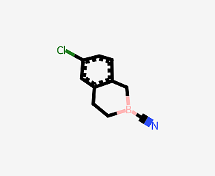 N#CB1CCc2cc(Cl)ccc2C1